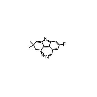 CC1(C)C=c2nc3cc(F)cc4cnnc(c2=c43)C1